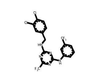 FC(F)(F)c1cccc(Nc2nc(NCc3ccc(Cl)c(Cl)c3)nc(C(F)(F)F)n2)c1